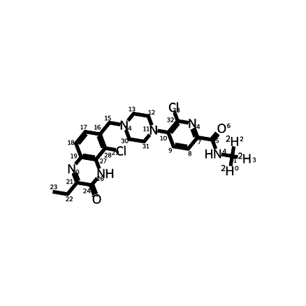 [2H]C([2H])([2H])NC(=O)c1ccc(N2CCN(Cc3ccc4nc(CC)c(=O)[nH]c4c3Cl)CC2)c(Cl)n1